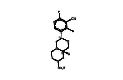 Cc1c([C@H]2CN3CCN(C(=O)O)C[C@H]3CO2)ccc(F)c1C#N